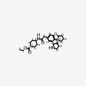 CCOC(=O)N1CCC(NC(=O)Cc2ccc([N+]3([C@H]4CCNC4)CCC[C@@H]3C)cc2)CC1